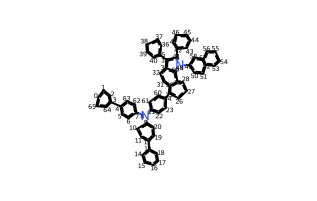 c1ccc(-c2ccc(N(c3ccc(-c4ccccc4)cc3)c3ccc(-c4cccc5c4ccc4c(-c6ccccc6)c(-c6ccccc6)n(-c6ccc7ccccc7c6)c45)cc3)cc2)cc1